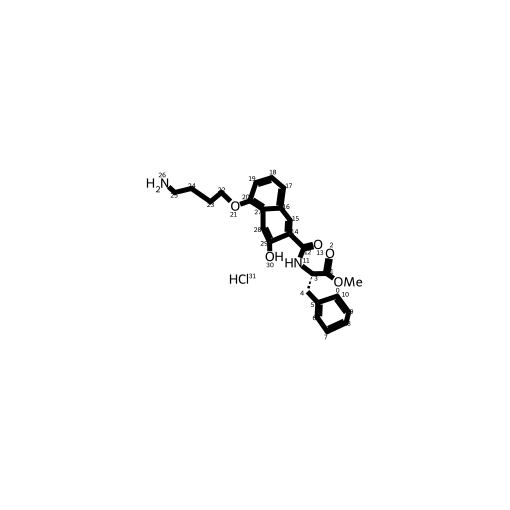 COC(=O)[C@H](Cc1ccccc1)NC(=O)c1cc2cccc(OCCCCN)c2cc1O.Cl